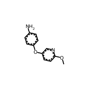 COc1ccc(Oc2ccc(N)cc2)cn1